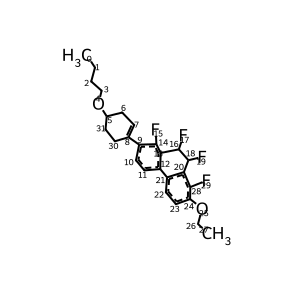 CCCCOC1CC=C(c2ccc3c(c2F)C(F)C(F)c2c-3ccc(OCC)c2F)CC1